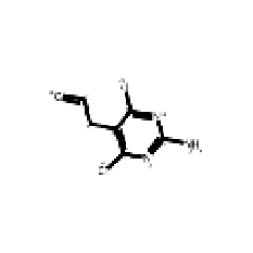 Nc1nc(Cl)c(CC=O)c(Cl)n1